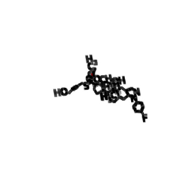 CCC(=O)O[C@]1(C(=O)SCC#CCO)CC[C@H]2[C@@H]3CCC4=Cc5c(cnn5-c5ccc(F)cc5)C[C@]4(C)[C@H]3[C@@H](O)C[C@@]21C